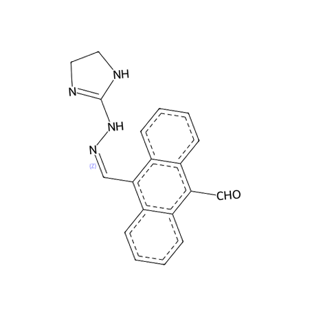 O=Cc1c2ccccc2c(/C=N\NC2=NCCN2)c2ccccc12